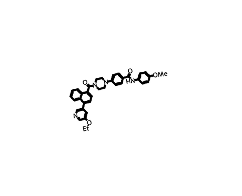 CCOc1cncc(-c2ccc(C(=O)N3CCN(c4ccc(C(=O)Nc5ccc(OC)cc5)cc4)CC3)c3ccccc23)c1